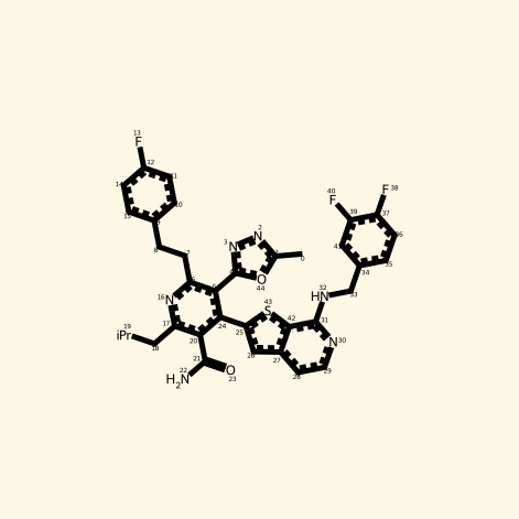 Cc1nnc(-c2c(CCc3ccc(F)cc3)nc(CC(C)C)c(C(N)=O)c2-c2cc3ccnc(NCc4ccc(F)c(F)c4)c3s2)o1